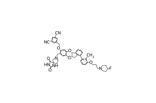 Cc1c(OCCCN2CCC(F)CC2)cccc1-c1cccc2c1CC[C@@H]2Oc1cc(OCc2cc(C#N)cc(C#N)c2)c(CN2CCC3(C2)NC(=O)NC3=O)cc1Cl